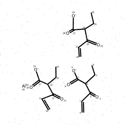 C=CC(=O)C(CC)C(=O)[O-].C=CC(=O)C(CC)C(=O)[O-].C=CC(=O)C(CC)C(=O)[O-].[Al+3]